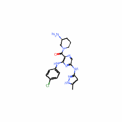 Cc1cc(Nc2cnc(C(=O)N3CCC[C@H](N)C3)c(Nc3ccc(Cl)cc3)n2)n[nH]1